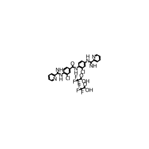 N=C(Nc1ccc(NC(=O)c2ccc(NC(=N)c3ccccn3)c(Cl)c2)c(Cl)c1)c1ccccn1.O=C(O)C(F)(F)F.O=C(O)C(F)(F)F